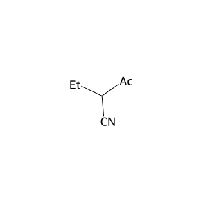 CCC(C#N)C(C)=O